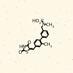 Cc1cc(C=C2SC(=O)NC2=O)ccc1-c1cccc(CN(C)C(=O)O)c1